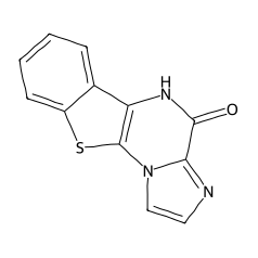 O=c1[nH]c2c3ccccc3sc2n2ccnc12